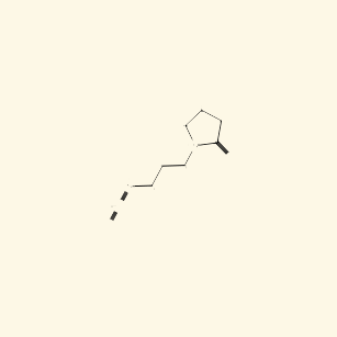 O=C1CCCN1CCCN=C=S